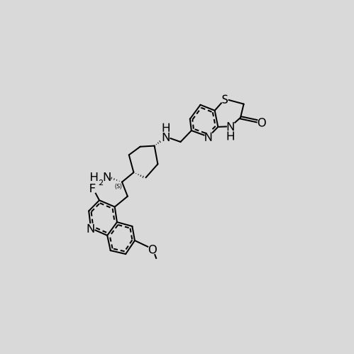 COc1ccc2ncc(F)c(C[C@H](N)[C@H]3CC[C@@H](NCc4ccc5c(n4)NC(=O)CS5)CC3)c2c1